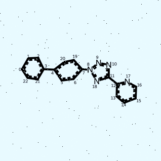 c1ccc(-c2ccc(-n3nnc(-c4ccccn4)n3)cc2)cc1